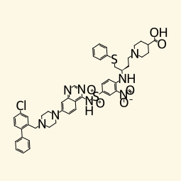 O=C(O)C1CCN(CC[C@H](CSc2ccccc2)Nc2ccc(S(=O)(=O)Nc3ncnc4cc(N5CCN(Cc6cc(Cl)ccc6-c6ccccc6)CC5)ccc34)cc2[N+](=O)[O-])CC1